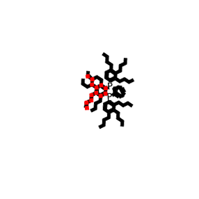 CCCCc1ccc(P(c2ccc(CCCC)c(CCCC)c2CCCC)[C]23[CH]4[CH]5[CH]6[C]2(P(c2ccc(CCCC)c(CCCC)c2CCCC)c2ccc(CCCC)c(CCCC)c2CCCC)[Cr]54632789[CH]3[CH]2[CH]7[CH]8[CH]39)c(CCCC)c1CCCC